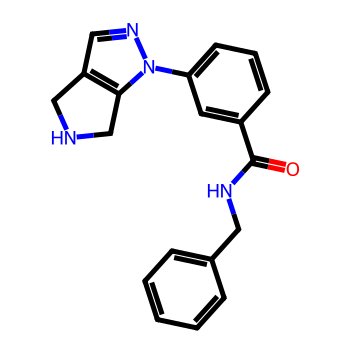 O=C(NCc1ccccc1)c1cccc(-n2ncc3c2CNC3)c1